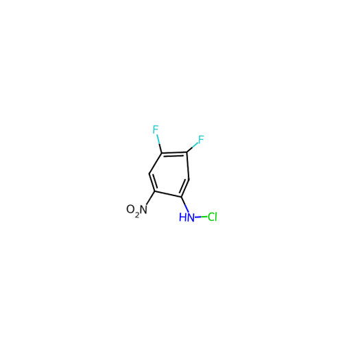 O=[N+]([O-])c1cc(F)c(F)cc1NCl